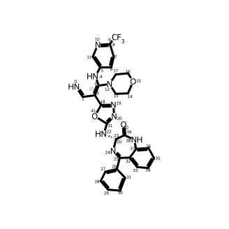 N=C/C(=C(\Nc1ccc(C(F)(F)F)nc1)N1CCOCC1)c1nnc(N[C@H]2N=C(c3ccccc3)c3ccccc3NC2=O)o1